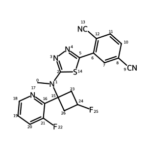 CN(c1nnc(-c2cc(C#N)ccc2C#N)s1)C1(c2ncccc2F)CC(F)C1